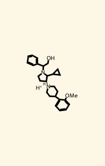 COc1ccccc1C1CCN([C@@H]2CCN(C(CO)c3ccccc3)C2C2CC2)CC1.[H+]